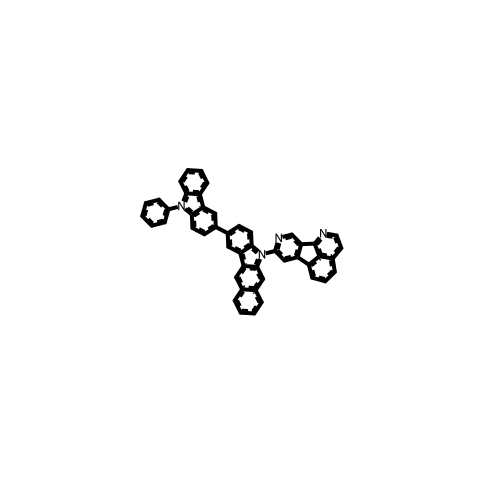 c1ccc(-n2c3ccccc3c3cc(-c4ccc5c(c4)c4cc6ccccc6cc4n5-c4cc5c(cn4)-c4nccc6cccc-5c46)ccc32)cc1